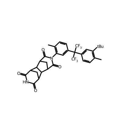 Cc1ccc(C(c2ccc(C)c(C(C)(C)C)c2)(C(F)(F)F)C(F)(F)F)cc1N1C(=O)C2CC(C1=O)C1C3CC(C(=O)NC3=O)C21